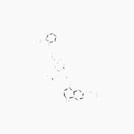 COc1ccc2nccc(CCC[C@@H]3CCN(CCSc4c(Cl)cccc4Cl)C[C@@H]3CC(=O)O)c2c1